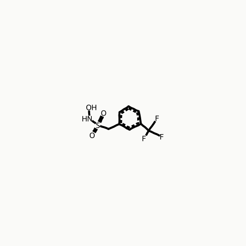 O=S(=O)(Cc1cccc(C(F)(F)F)c1)NO